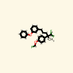 CC(CCCc1cccc(Oc2ccccc2)c1)(c1ccc(OCF)cc1)C(F)F